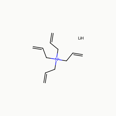 C=CC[N+](CC=C)(CC=C)CC=C.[LiH]